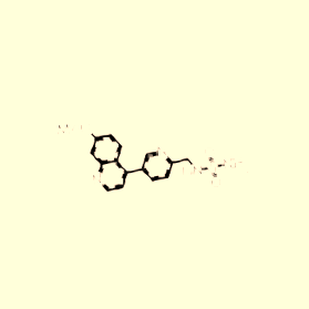 COc1ccc2c(-c3ccc(CNS(N)(=O)=O)nc3)ccnc2c1